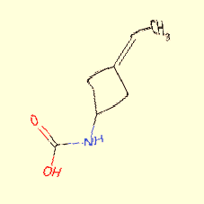 CC=C1CC(NC(=O)O)C1